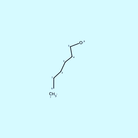 CCCCCC[O].[CH3]